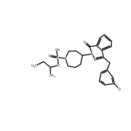 CCC(C)OP(=O)(O)N1CCCC(n2nc(Cc3cccc(Cl)c3)c3ccccc3c2=O)CC1